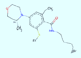 CCSc1cc(N2CCOC[C@H]2C)cc(C)c1C(=O)NCCCC(C)(C)C